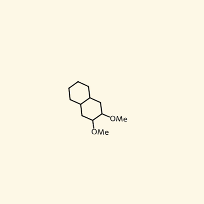 COC1CC2CCCCC2CC1OC